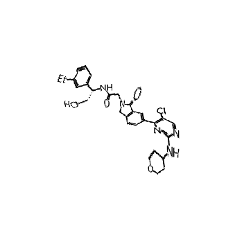 CCc1cccc([C@@H](CO)NC(=O)CN2Cc3ccc(-c4nc(NC5CCOCC5)ncc4Cl)cc3C2=O)c1